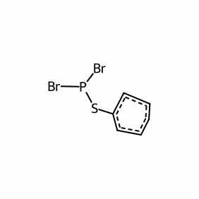 BrP(Br)Sc1ccccc1